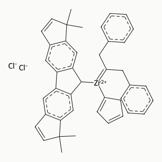 CC1(C)C=Cc2cc3c(cc21)[CH]([Zr+2]([C]1=CC=CC1)=[C](Cc1ccccc1)Cc1ccccc1)c1cc2c(cc1-3)C=CC2(C)C.[Cl-].[Cl-]